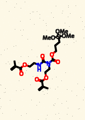 C=C(C)C(=O)OCCNC(=O)N(CCOC(=O)C(=C)C)C(=O)OCCC[Si](OC)(OC)OC